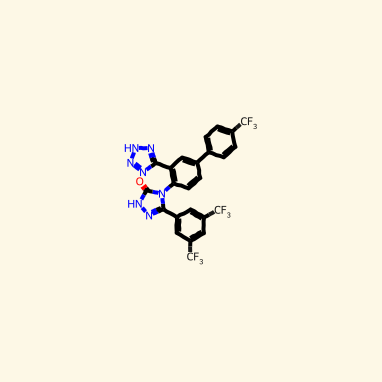 O=c1[nH]nc(-c2cc(C(F)(F)F)cc(C(F)(F)F)c2)n1-c1ccc(-c2ccc(C(F)(F)F)cc2)cc1-c1nn[nH]n1